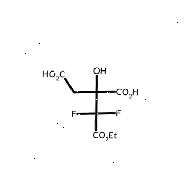 CCOC(=O)C(F)(F)C(O)(CC(=O)O)C(=O)O